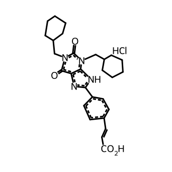 Cl.O=C(O)C=Cc1ccc(-c2nc3c(=O)n(CC4CCCCC4)c(=O)n(CC4CCCCC4)c3[nH]2)cc1